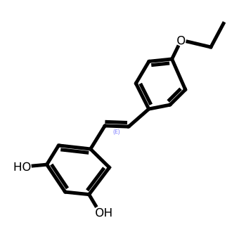 CCOc1ccc(/C=C/c2cc(O)cc(O)c2)cc1